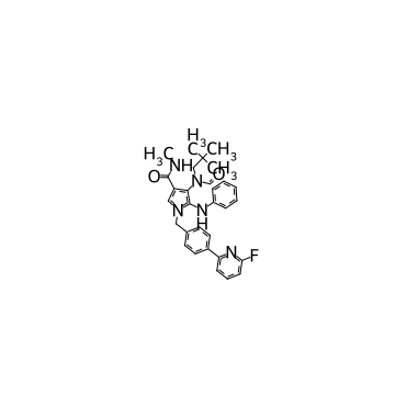 CNC(=O)c1cn(Cc2ccc(-c3cccc(F)n3)cc2)c(Nc2ccccc2)c1N(C=O)CC(C)(C)C